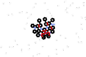 c1ccc(Nc2c(-c3ccccc3)cccc2-c2cccc(-c3cccc4c5ccccc5n(-c5ccccc5)c34)c2N2c3ccc(-c4ccccc4)cc3B3c4cc(-c5ccccc5)ccc4N(c4c(-c5cccc6c7ccccc7n(-c7ccccc7)c56)cccc4-c4cccc5c6ccccc6n(-c6ccccc6)c45)c4cc(-n5c6ccccc6c6ccccc65)cc2c43)cc1